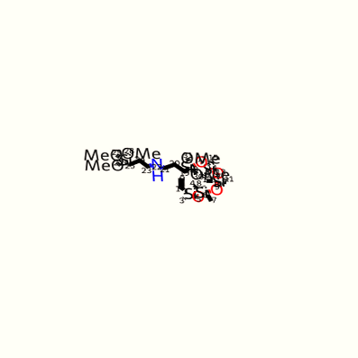 C=C[Si](C)(C)O[Si](C)(C)O[Si](C)(C)O[Si](C)(C)O[Si](CCCNCCC[Si](OC)(OC)OC)(OC)OC